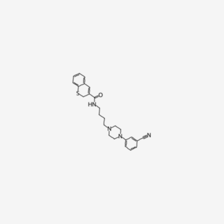 N#Cc1cccc(N2CCN(CCCCNC(=O)C3=Cc4ccccc4SC3)CC2)c1